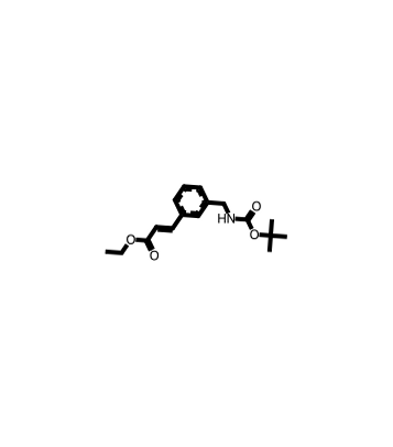 CCOC(=O)C=Cc1cccc(CNC(=O)OC(C)(C)C)c1